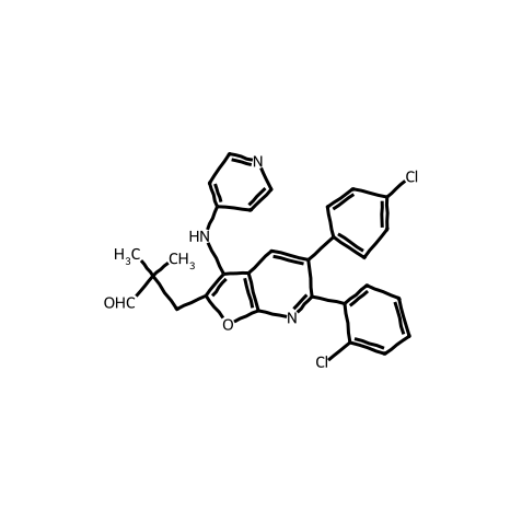 CC(C)(C=O)Cc1oc2nc(-c3ccccc3Cl)c(-c3ccc(Cl)cc3)cc2c1Nc1ccncc1